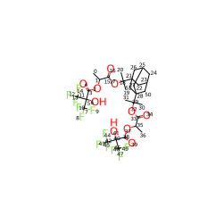 CC(OC(=O)C(O)(C(F)(F)F)C(F)(F)F)C(=O)OC(C)(C)C12CC3CC(C1)CC(C(C)(C)OC(=O)C(C)OC(=O)C(O)(C(F)(F)F)C(F)(F)F)(C3)C2